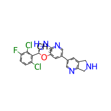 C[C@@H](Oc1cc(-c2cnc3c(c2)CNC3)cnc1N)c1c(Cl)ccc(F)c1Cl